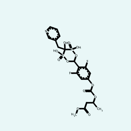 COC(=O)CC(C)OC(=O)Oc1cc(F)c(C2OP(=O)(O)C(O)(Cc3cccnc3)P(=O)(O)O2)c(F)c1